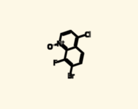 [O-][n+]1ccc(Cl)c2ccc(Br)c(F)c21